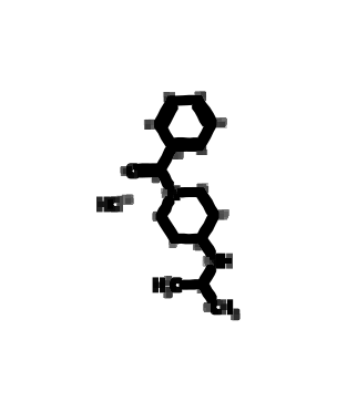 CC(C)NC1CCN(C(=O)c2ccccc2)CC1.Cl